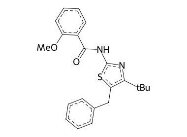 COc1ccccc1C(=O)Nc1nc(C(C)(C)C)c(Cc2ccccc2)s1